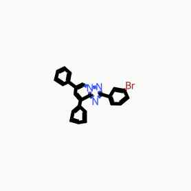 Brc1cccc(-c2nc3c(-c4ccccc4)cc(-c4ccccc4)cn3n2)c1